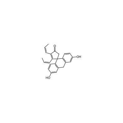 C/C=C\C1=C(/C=C\C)C2(CC1=O)c1ccc(O)cc1Cc1cc(O)ccc12